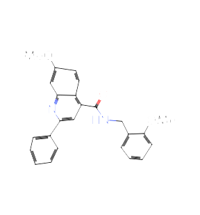 COc1ccc2c(C(=O)NCc3ccccc3OC)cc(-c3ccccc3)nc2c1